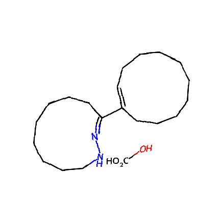 C1=C(/C2=N\NCCCCCCCC2)CCCCCCCCC/1.O=C(O)O